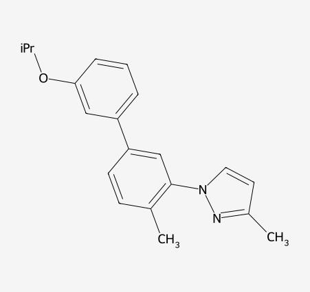 Cc1ccn(-c2cc(-c3cccc(OC(C)C)c3)ccc2C)n1